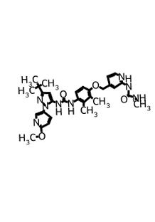 CNC(=O)Nc1cc(COc2ccc(NC(=O)Nc3cc(C(C)(C)C)nn3-c3ccc(OC)nc3)c(C)c2C)ccn1